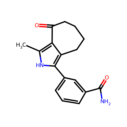 Cc1[nH]c(-c2cccc(C(N)=O)c2)c2c1C(=O)CCCC2